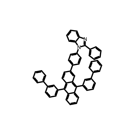 c1ccc(-c2cccc(-c3c4ccccc4c(-c4cccc(-c5ccccc5)c4)c4cc(-c5ccc(-n6c(-c7ccccc7)nc7ccccc76)cc5)ccc34)c2)cc1